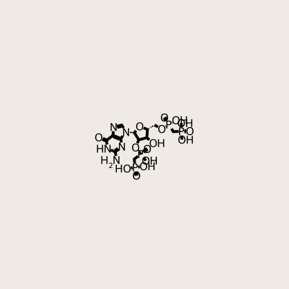 Nc1nc2c(ncn2[C@@H]2O[C@H](COP(=O)(O)CP(=O)(O)O)C(O)C2OP(=O)(O)CP(=O)(O)O)c(=O)[nH]1